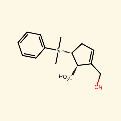 C[Si](C)(c1ccccc1)[C@@H]1CC=C(CO)[C@H]1C(=O)O